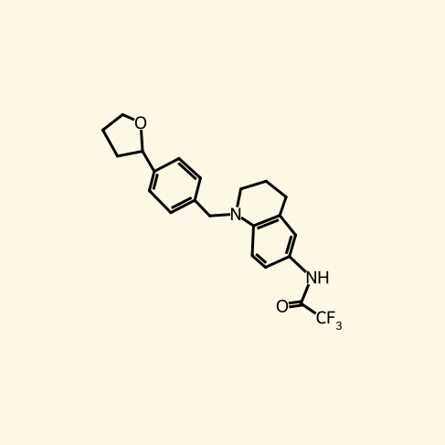 O=C(Nc1ccc2c(c1)CCCN2Cc1ccc(C2CCCO2)cc1)C(F)(F)F